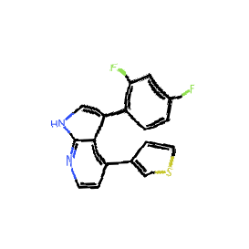 Fc1ccc(-c2c[nH]c3nccc(-c4ccsc4)c23)c(F)c1